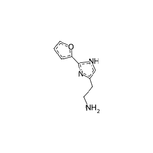 NCCc1c[nH]c(-c2ccco2)n1